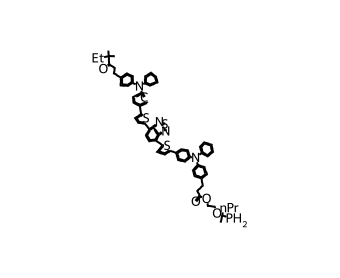 CCCC(C)(P)OCCOC(=O)CCc1ccc(N(c2ccccc2)c2ccc(-c3ccc(-c4ccc(-c5ccc(-c6ccc(N(c7ccccc7)c7ccc(CCC(=O)C(C)(C)CC)cc7)cc6)s5)c5nsnc45)s3)cc2)cc1